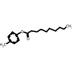 [CH2]c1ccc(OC(=O)CCCCCCCCC)cc1